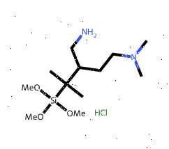 CO[Si](OC)(OC)C(C)(C)C(CN)CCN(C)C.Cl